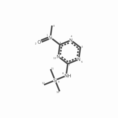 C[Si](=O)c1ncnc(N[Si](C)(C)C)n1